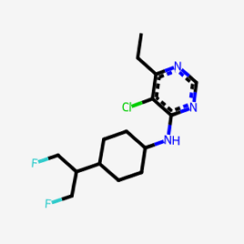 CCc1ncnc(NC2CCC(C(CF)CF)CC2)c1Cl